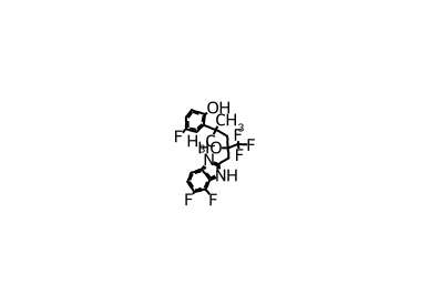 CC(C)(CC(O)(Cc1nc2ccc(F)c(F)c2[nH]1)C(F)(F)F)c1cc(F)ccc1O